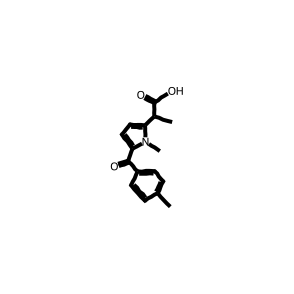 Cc1ccc(C(=O)c2ccc(C(C)C(=O)O)n2C)cc1